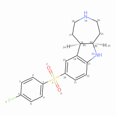 O=S(=O)(c1ccc(F)cc1)c1ccc2c(c1)[C@H]1CCNCC[C@H]1N2